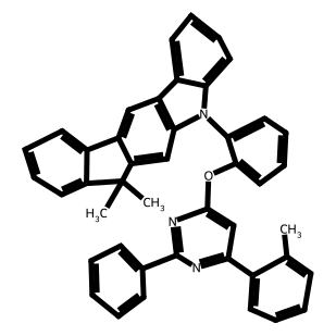 Cc1ccccc1-c1cc(Oc2ccccc2-n2c3ccccc3c3cc4c(cc32)C(C)(C)c2ccccc2-4)nc(-c2ccccc2)n1